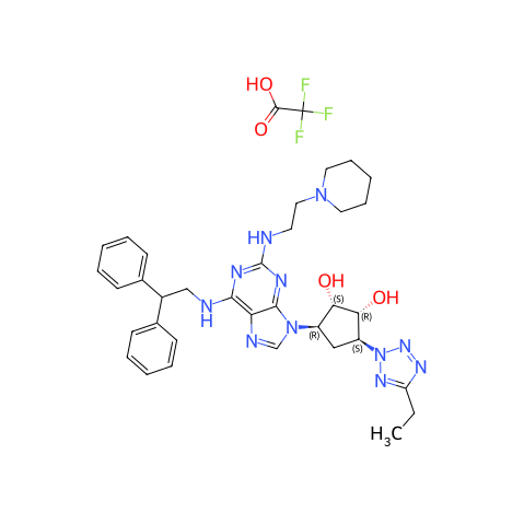 CCc1nnn([C@H]2C[C@@H](n3cnc4c(NCC(c5ccccc5)c5ccccc5)nc(NCCN5CCCCC5)nc43)[C@H](O)[C@@H]2O)n1.O=C(O)C(F)(F)F